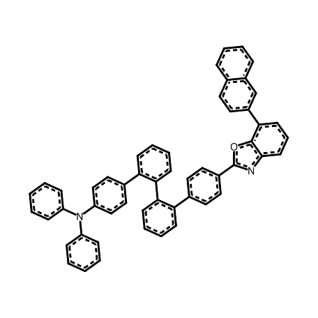 c1ccc(N(c2ccccc2)c2ccc(-c3ccccc3-c3ccccc3-c3ccc(-c4nc5cccc(-c6ccc7ccccc7c6)c5o4)cc3)cc2)cc1